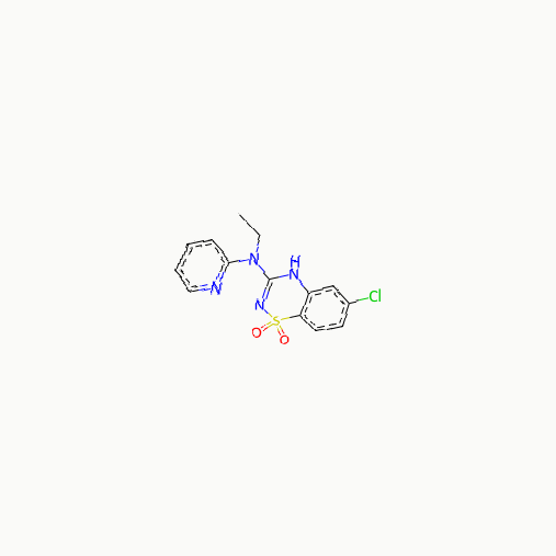 CCN(C1=NS(=O)(=O)c2ccc(Cl)cc2N1)c1ccccn1